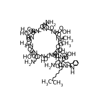 CCC(C)C1NC(=O)C(CCC(=O)O)NC(=O)C(CC(N)=O)NC(=O)CNC(=O)C(C(OC)C(=O)O)NC(=O)C(C)NC(=O)C(CC(=O)O)NC(=O)C(CCCN)NC(=O)CNC(=O)C(NC(=O)C(CC(=O)O)NC(=O)C(CC(N)=O)NC(=O)C(Cc2c[nH]c3ccccc23)NC(=O)CCCCCCC(C)C)C(C)OC1=O